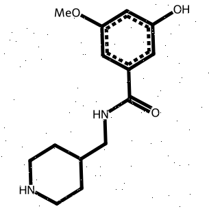 COc1cc(O)cc(C(=O)NCC2CCNCC2)c1